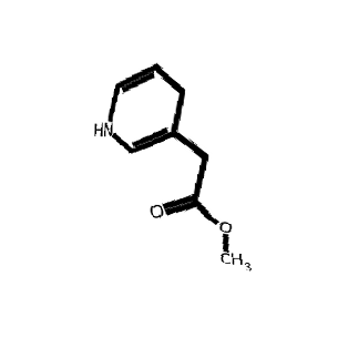 COC(=O)CC1=CNC=CC1